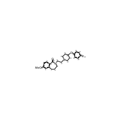 COc1ccc2c(c1)CCCN(CCN1CCC(Oc3ccc(F)cc3)CC1)C2=O